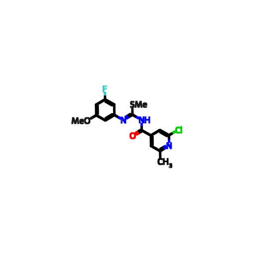 COc1cc(F)cc(/N=C(/NC(=O)c2cc(C)nc(Cl)c2)SC)c1